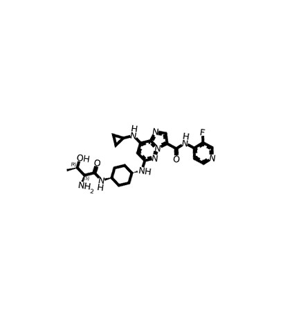 C[C@@H](O)[C@H](N)C(=O)N[C@H]1CC[C@H](Nc2cc(NC3CC3)c3ncc(C(=O)Nc4ccncc4F)n3n2)CC1